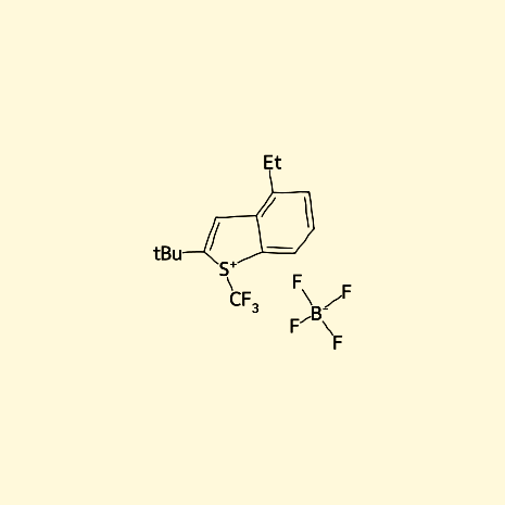 CCc1cccc2c1cc(C(C)(C)C)[s+]2C(F)(F)F.F[B-](F)(F)F